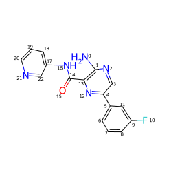 Nc1ncc(-c2cccc(F)c2)nc1C(=O)Nc1cccnc1